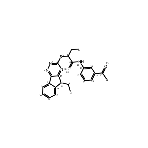 CCC(Sc1nnc2c3ccccc3n(CC)c2n1)C(=O)Nc1cccc(C(C)=O)c1